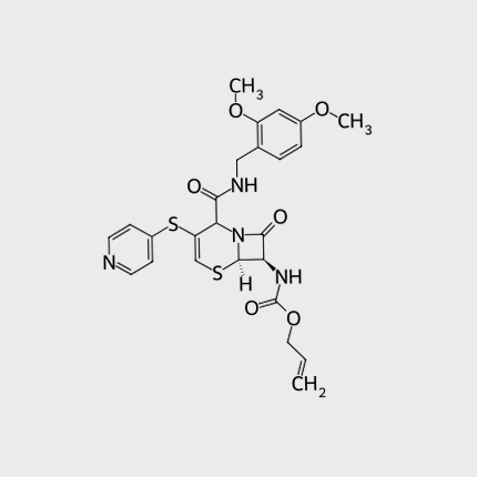 C=CCOC(=O)N[C@@H]1C(=O)N2C(C(=O)NCc3ccc(OC)cc3OC)C(Sc3ccncc3)=CS[C@H]12